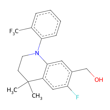 CC1(C)CCN(c2ccccc2C(F)(F)F)c2cc(CO)c(F)cc21